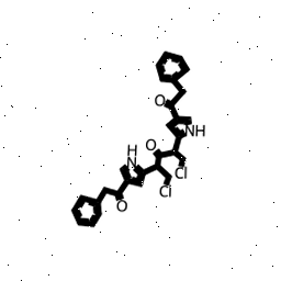 O=C(Cc1ccccc1)c1c[nH]c(C(CCl)C(=O)C(CCl)c2cc(C(=O)Cc3ccccc3)c[nH]2)c1